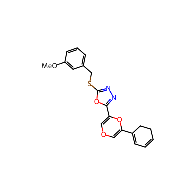 COc1cccc(CSc2nnc(C3=COC=C(C4=CC=CCC4)O3)o2)c1